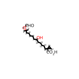 CC(C)(CCCCCC(O)CCCCCC1(C(=O)O)CC1)OC=O